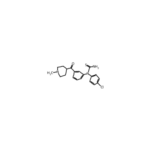 CN1CCC(C(=O)c2cccc(N(C(N)=S)c3ccc(Cl)cc3)c2)CC1